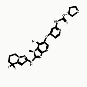 Cn1c(Nc2cc3n(n2)CCCC3(F)F)nc2ncc(Oc3ccnc(NC(=O)O[C@@H]4CCOC4)c3)c(C#N)c21